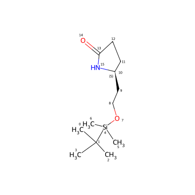 CC(C)(C)[Si](C)(C)OCC[C@@H]1CCC(=O)N1